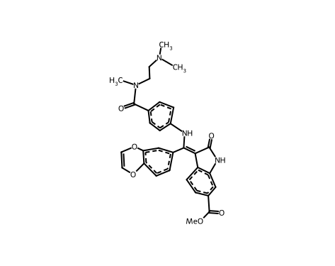 COC(=O)c1ccc2c(c1)NC(=O)/C2=C(\Nc1ccc(C(=O)N(C)CCN(C)C)cc1)c1ccc2c(c1)OC=CO2